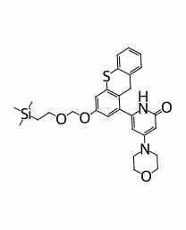 C[Si](C)(C)CCOCOc1cc2c(c(-c3cc(N4CCOCC4)cc(=O)[nH]3)c1)Cc1ccccc1S2